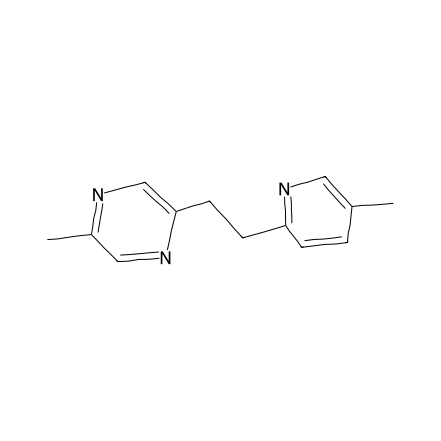 Cc1ccc(CCc2cnc(C)cn2)nc1